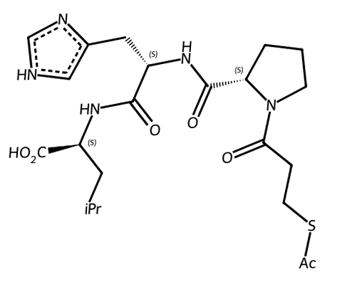 CC(=O)SCCC(=O)N1CCC[C@H]1C(=O)N[C@@H](Cc1c[nH]cn1)C(=O)N[C@@H](CC(C)C)C(=O)O